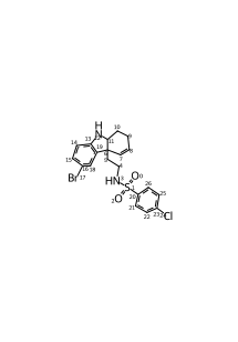 O=S(=O)(NCCC12C=CCCC1Nc1ccc(Br)cc12)c1ccc(Cl)cc1